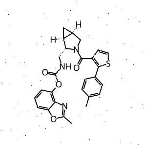 Cc1ccc(-c2sccc2C(=O)N2C[C@@H]3C[C@@H]3[C@H]2CNC(=O)Oc2cccc3oc(C)nc23)cc1